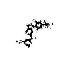 Cc1cc(Nc2cc3c(cn2)cnn3-c2c(F)cc(C(C)(C)O)cc2Cl)ncn1